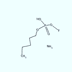 CCCCCOP(=O)(O)OF.N